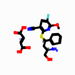 COc1nc(S[C@H](C[C@H](N)CO)c2ccccc2)c(C#N)cc1F.O=C(O)/C=C/C(=O)O